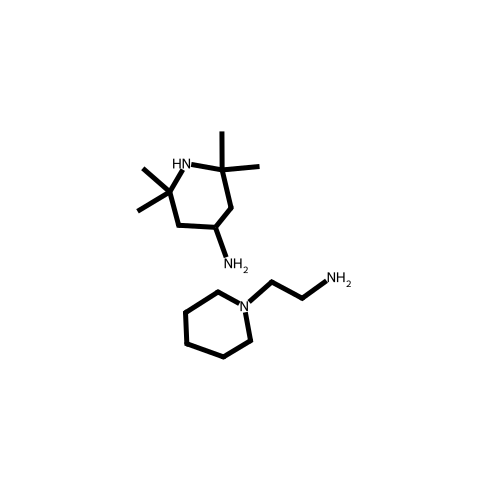 CC1(C)CC(N)CC(C)(C)N1.NCCN1CCCCC1